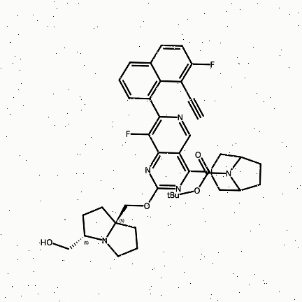 C#Cc1c(F)ccc2cccc(-c3ncc4c(N5CC6CCC(C5)N6C(=O)OC(C)(C)C)nc(OC[C@@]56CCCN5[C@H](CO)CC6)nc4c3F)c12